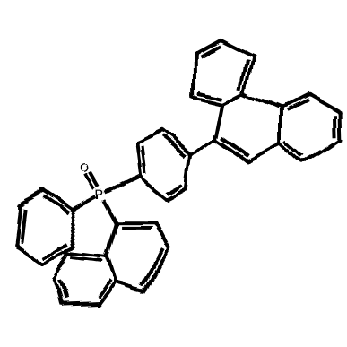 O=P(c1ccccc1)(c1ccc(-c2cc3ccccc3c3ccccc23)cc1)c1cccc2ccccc12